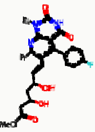 CCn1c(=O)[nH]c(=O)c2c(-c3ccc(F)cc3)c(/C=C/C(O)CC(O)CC(=O)OC)c(C(C)C)nc21